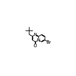 CC(C)(C)Cc1cc(=O)n2cc(Br)ccc2n1